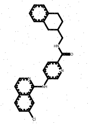 O=C(NCC1CCc2ccccc2C1)c1ccc(Nc2nccc3ccc(Cl)cc23)cn1